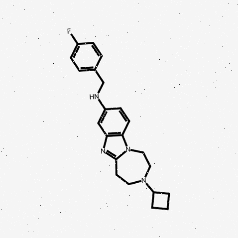 Fc1ccc(CNc2ccc3c(c2)nc2n3CCN(C3CCC3)CC2)cc1